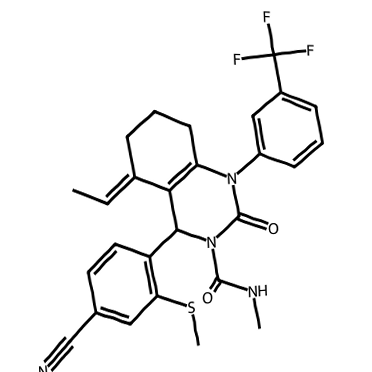 CC=C1CCCC2=C1C(c1ccc(C#N)cc1SC)N(C(=O)NC)C(=O)N2c1cccc(C(F)(F)F)c1